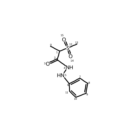 CC(C(=O)NNc1ccccc1)S(C)(=O)=O